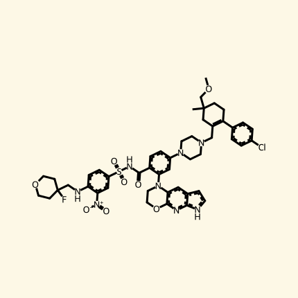 COCC1(C)CCC(c2ccc(Cl)cc2)=C(CN2CCN(c3ccc(C(=O)NS(=O)(=O)c4ccc(NCC5(F)CCOCC5)c([N+](=O)[O-])c4)c(N4CCOc5nc6[nH]ccc6cc54)c3)CC2)C1